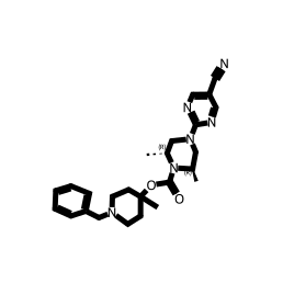 C[C@@H]1CN(c2ncc(C#N)cn2)C[C@@H](C)N1C(=O)OC1(C)CCN(Cc2ccccc2)CC1